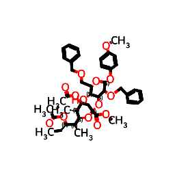 CC[C@@H](OC(C)=O)[C@@H](C)[C@@H]1O[C@@](O[C@@H]2C(OCc3ccccc3)[C@H](Oc3ccc(OC)cc3)OC(COCc3ccccc3)[C@@H]2O)(C(=O)OC)CC(OC(C)=O)[C@H]1C